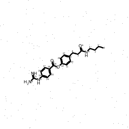 CCCCNC(=O)CCc1ccc(OC(=O)c2ccc(NC(=N)N)cc2)cc1